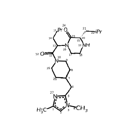 Cc1cn(C)c(CC2CCN(C(=O)C(CC(C)C)N3CCN[C@@H](CC(C)C)C3=O)CC2)n1